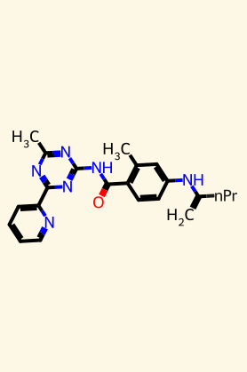 C=C(CCC)Nc1ccc(C(=O)Nc2nc(C)nc(-c3ccccn3)n2)c(C)c1